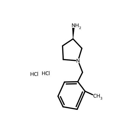 Cc1ccccc1CN1CC[C@@H](N)C1.Cl.Cl